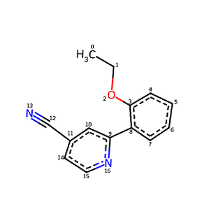 CCOc1ccccc1-c1cc(C#N)ccn1